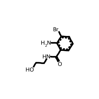 Nc1c(Br)cccc1C(=O)NCCO